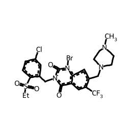 CCS(=O)(=O)c1ccc(Cl)cc1Cn1c(=O)c2cc(C(F)(F)F)c(CN3CCN(C)CC3)cc2n(Br)c1=O